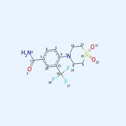 NC(=O)c1ccc(N2CCS(=O)(=O)CC2)c(C(F)(F)F)c1